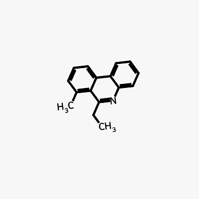 CCc1nc2ccccc2c2cccc(C)c12